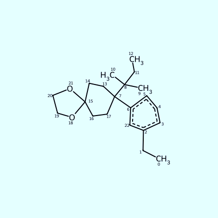 CCc1cccc(C2(C(C)(C)CC)CCC3(CC2)OCCO3)c1